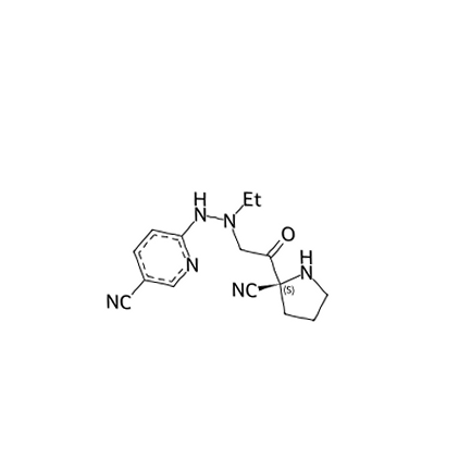 CCN(CC(=O)[C@@]1(C#N)CCCN1)Nc1ccc(C#N)cn1